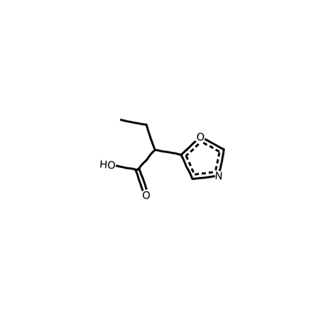 CCC(C(=O)O)c1cnco1